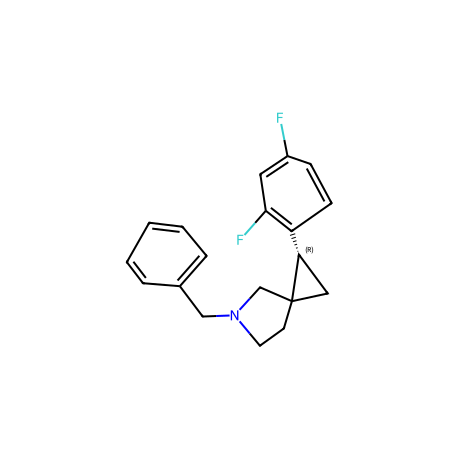 Fc1ccc([C@@H]2CC23CCN(Cc2ccccc2)C3)c(F)c1